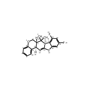 CC1(C)[C@H]2COc3ccccc3[C@@H]2N=C2Sc3cc(F)cc(F)c3N21